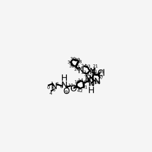 CCN(CC)CCNC(=O)COc1ccc(-c2nc3c(N(C)C4CCN(Cc5ccccc5)CC4)c(Cl)cnc3[nH]2)cc1